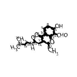 Cc1oc2c(C=O)c(O)ccc2c(=O)c1CC(=O)NCCN(C)C